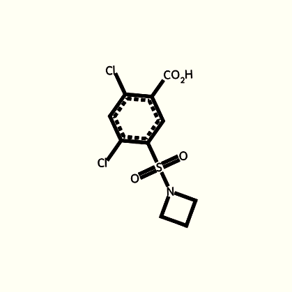 O=C(O)c1cc(S(=O)(=O)N2CCC2)c(Cl)cc1Cl